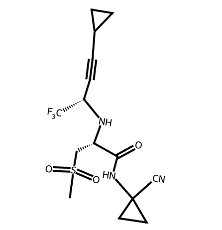 CS(=O)(=O)C[C@H](N[C@@H](C#CC1CC1)C(F)(F)F)C(=O)NC1(C#N)CC1